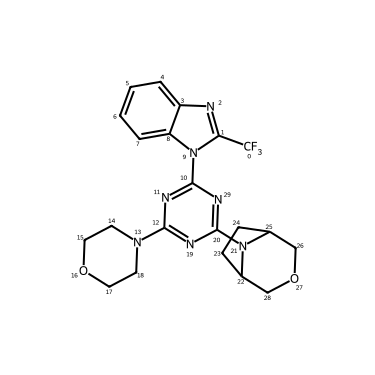 FC(F)(F)c1nc2ccccc2n1-c1nc(N2CCOCC2)nc(N2C3CCC2COC3)n1